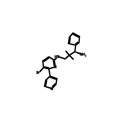 CC(C)(CNc1ccc(Br)c(-c2ccncc2)n1)[C@H](N)c1ccccc1